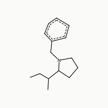 CCC(C)C1CCCN1Cc1ccccc1